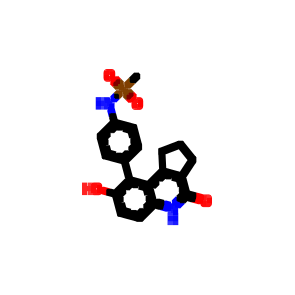 CS(=O)(=O)Nc1ccc(-c2c(O)ccc3[nH]c(=O)c4c(c23)CCC4)cc1